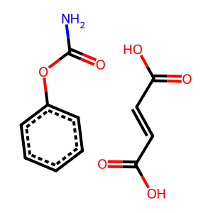 NC(=O)Oc1ccccc1.O=C(O)C=CC(=O)O